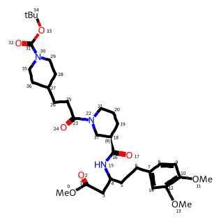 COC(=O)CC(CCc1ccc(OC)c(OC)c1)NC(=O)[C@@H]1CCCN(C(=O)CCC2CCN(C(=O)OC(C)(C)C)CC2)C1